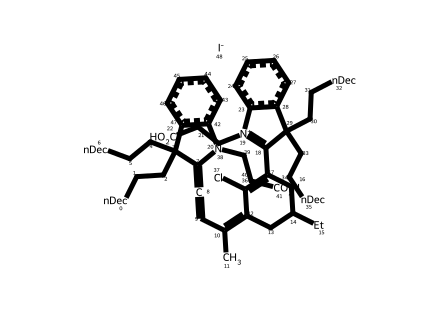 CCCCCCCCCCCCC1(CCCCCCCCCCCC)C(=C=CC(C)=C2CC(CC)CC(C3=[N+](CCC(=O)O)c4ccccc4C3(CCCCCCCCCCCC)CCCCCCCCCCCC)=C2Cl)N(CCC(=O)O)c2ccccc21.[I-]